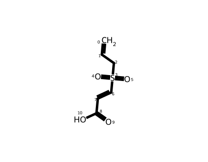 C=CCS(=O)(=O)/C=C/C(=O)O